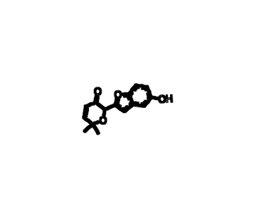 CC1(C)C=CC(=O)C(c2cc3cc(O)ccc3o2)O1